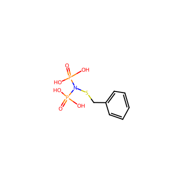 O=P(O)(O)N(SCc1ccccc1)P(=O)(O)O